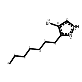 CCCCCCCc1n[nH]cc1Br